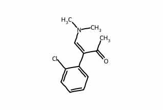 CC(=O)/C(=C\N(C)C)c1ccccc1Cl